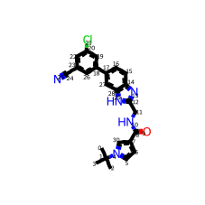 CC(C)(C)n1ccc(C(=O)NCc2nc3ccc(-c4cc(Cl)cc(C#N)c4)cc3[nH]2)c1